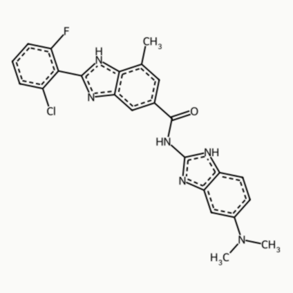 Cc1cc(C(=O)Nc2nc3cc(N(C)C)ccc3[nH]2)cc2nc(-c3c(F)cccc3Cl)[nH]c12